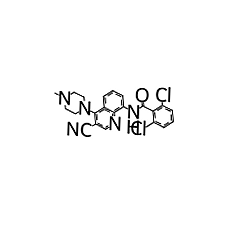 CN1CCN(c2c(C#N)cnc3c(NC(=O)c4c(Cl)cccc4Cl)cccc23)CC1